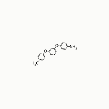 Cc1ccc(Oc2cccc(Oc3ccc(N)cc3)c2)cc1